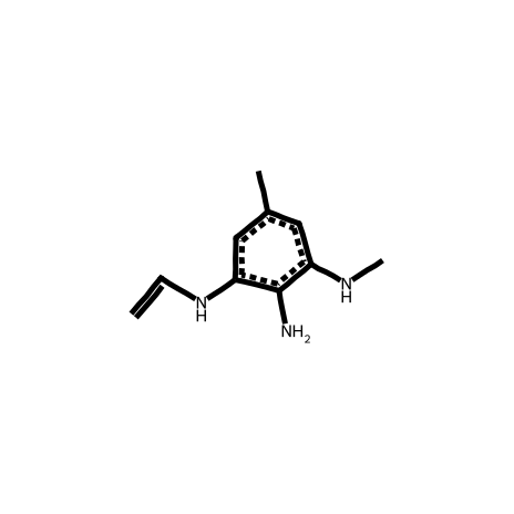 C=CNc1cc(C)cc(NC)c1N